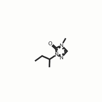 CCC(C)n1ncn(C)c1=O